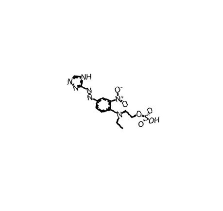 CCN(CCOS(=O)(=O)O)c1ccc(N=Nc2nnc[nH]2)cc1[N+](=O)[O-]